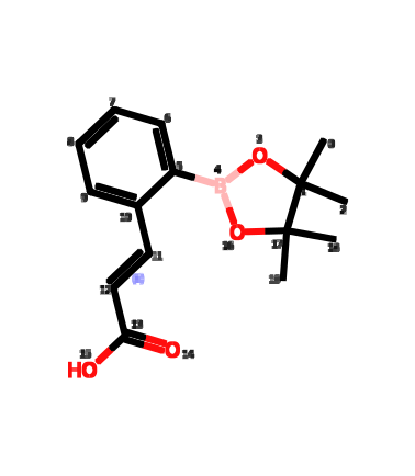 CC1(C)OB(c2ccccc2/C=C/C(=O)O)OC1(C)C